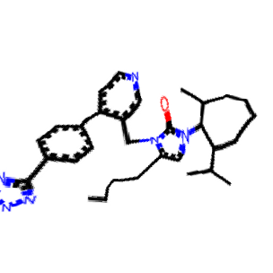 CCCCc1cn(C2C(C)CCCCC2C(C)C)c(=O)n1Cc1cnccc1-c1ccc(-c2nnn[nH]2)cc1